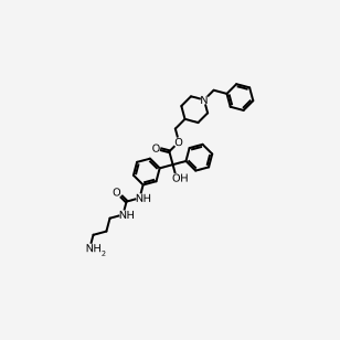 NCCCNC(=O)Nc1cccc(C(O)(C(=O)OCC2CCN(Cc3ccccc3)CC2)c2ccccc2)c1